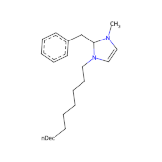 CCCCCCCCCCCCCCCCN1C=CN(C)C1Cc1ccccc1